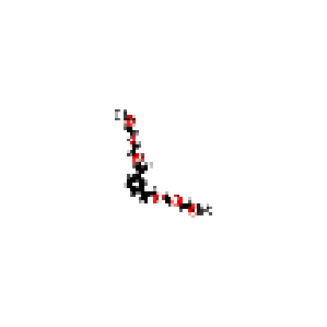 C=C(COCCOCCOCC)c1cccc(C(C)=COCCOCCOCC)c1